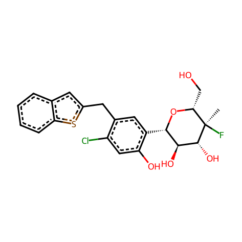 C[C@]1(F)[C@H](O)[C@@H](O)[C@H](c2cc(Cc3cc4ccccc4s3)c(Cl)cc2O)O[C@@H]1CO